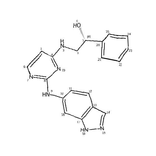 O[C@@H](CNc1ccnc(Nc2ccc3cn[nH]c3c2)n1)c1ccccc1